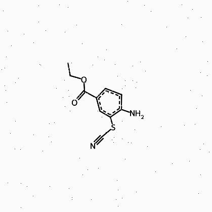 CCOC(=O)c1ccc(N)c(SC#N)c1